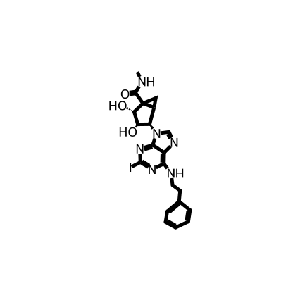 CNC(=O)C12CC1[C@@H](n1cnc3c(NCCc4ccccc4)nc(I)nc31)[C@H](O)[C@@H]2O